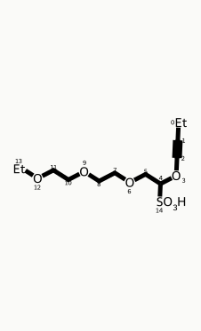 CCC#COC(COCCOCCOCC)S(=O)(=O)O